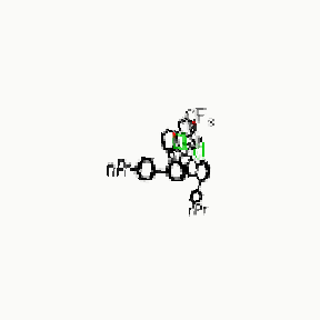 CCCc1ccc(-c2cccc3c2C=C(CC2CCCCC2)[CH]3[Zr]([Cl])([Cl])([CH]2C(CC3CCCCC3)=Cc3c(-c4ccc(CCC)cc4)cccc32)[SiH](C)CCC(F)(F)F)cc1